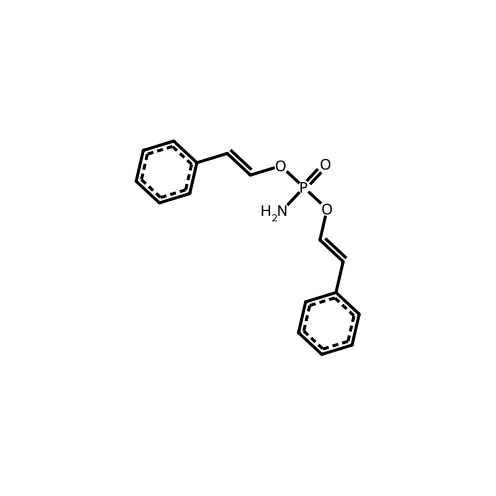 NP(=O)(OC=Cc1ccccc1)OC=Cc1ccccc1